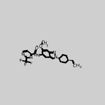 CC[C@H]1CC[C@H](n2cc3cc(NC(=O)c4ccnc(C(F)(F)F)n4)c(OC)cc3n2)CC1